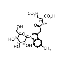 Cc1ccc2c(c1)c(CC(=O)N[C@H](CC(=O)O)C(=O)O)cn2[C@@H]1O[C@H](CO)[C@@H](O)[C@H](O)[C@H]1O